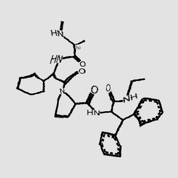 CCNC(=O)C(NC(=O)C1CCCN1C(=O)C(NC(=O)[C@H](C)NC)C1CCCCC1)C(c1ccccc1)c1ccccc1